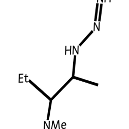 CCC(NC)C(C)NN=N